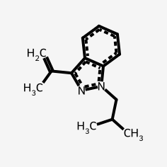 C=C(C)c1nn(CC(C)C)c2ccccc12